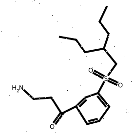 CCCC(CCC)CS(=O)(=O)c1cccc(C(=O)CCN)c1